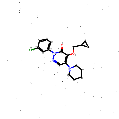 O=c1c(OCC2CC2)c(N2CCCCC2)cnn1-c1cccc(Cl)c1